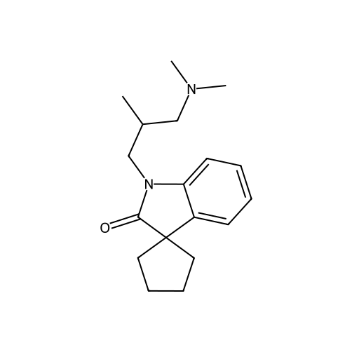 CC(CN(C)C)CN1C(=O)C2(CCCC2)c2ccccc21